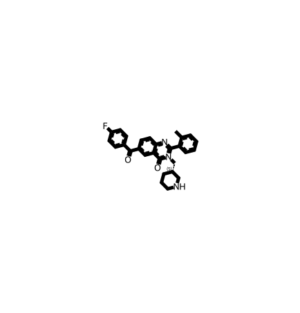 Cc1ccccc1-c1nc2ccc(C(=O)c3ccc(F)cc3)cc2c(=O)n1C[C@H]1CCCNC1